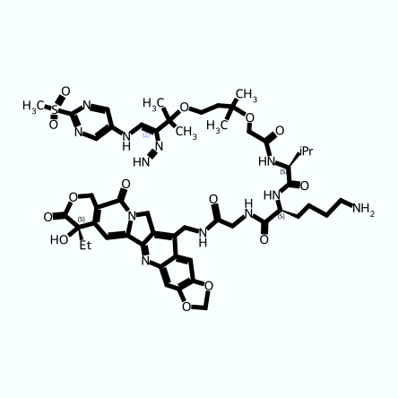 CC[C@@]1(O)C(=O)OCc2c1cc1n(c2=O)Cc2c-1nc1cc3c(cc1c2CNC(=O)CNC(=O)[C@H](CCCCN)NC(=O)[C@@H](NC(=O)COC(C)(C)CCOC(C)(C)/C(=C/Nc1cnc(S(C)(=O)=O)nc1)N=N)C(C)C)OCO3